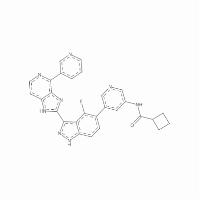 O=C(Nc1cncc(-c2ccc3[nH]nc(-c4nc5c(-c6cccnc6)nccc5[nH]4)c3c2F)c1)C1CCC1